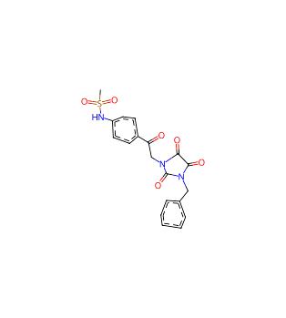 CS(=O)(=O)Nc1ccc(C(=O)CN2C(=O)C(=O)N(Cc3ccccc3)C2=O)cc1